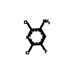 Nc1cc(F)c(Cl)nc1Cl